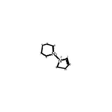 C1=CN(N2CCCCC2)CC1